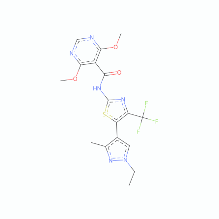 CCn1cc(-c2sc(NC(=O)c3c(OC)ncnc3OC)nc2C(F)(F)F)c(C)n1